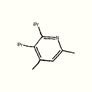 Cc1cc(C)c(C(C)C)c(C(C)C)n1